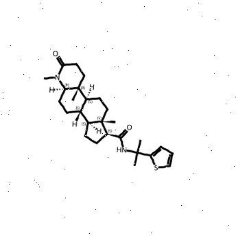 CN1C(=O)CC[C@]2(C)[C@H]3CC[C@]4(C)[C@@H](C(=O)NC(C)(C)c5cccs5)CC[C@H]4[C@@H]3CC[C@@H]12